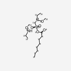 CCCCCCCC(=O)OS(=O)(=O)CN(CC)OC.CCNOC